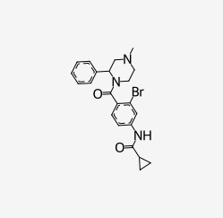 CN1CCN(C(=O)c2ccc(NC(=O)C3CC3)cc2Br)C(c2ccccc2)C1